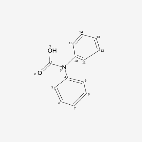 O=C(O)N(c1[c]cccc1)c1ccccc1